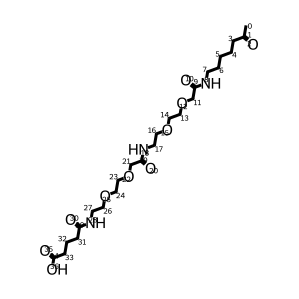 CC(=O)CCCCCNC(=O)COCCOCCNC(=O)COCCOCCNC(=O)CCCC(=O)O